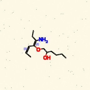 C/C=C\C(OCC(O)CCCC)=C(\N)CC